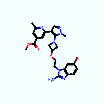 COC(=O)c1cc(C)nc(-c2cnn(C)c2N2CC(OCCn3c(N)nc4ccc(Br)cc43)C2)c1